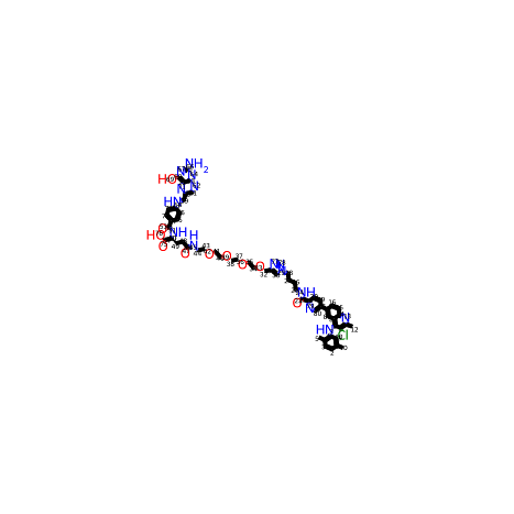 Cc1ccc(C)c(Nc2c(Cl)c(C)nc3ccc(-c4ccc(C(=O)NCCCCn5cc(COCCOCCOCCOCCNC(=O)CC[C@H](NC(=O)c6ccc(NCc7cnc8nc(N)nc(O)c8n7)cc6)C(=O)O)nn5)nc4)cc23)c1